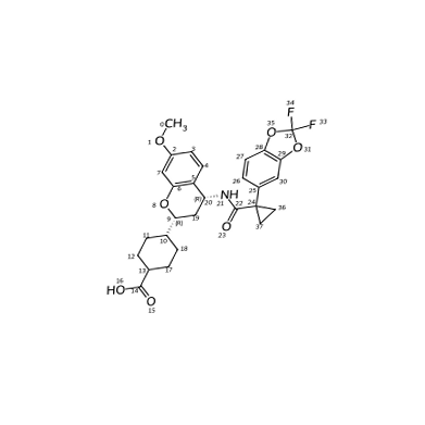 COc1ccc2c(c1)O[C@@H](C1CCC(C(=O)O)CC1)C[C@H]2NC(=O)C1(c2ccc3c(c2)OC(F)(F)O3)CC1